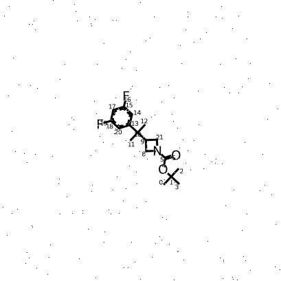 CC(C)(C)OC(=O)N1CC(C(C)(C)c2cc(F)cc(F)c2)C1